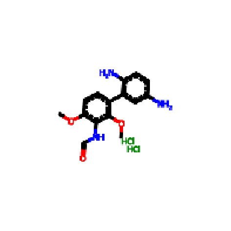 COc1ccc(-c2cc(N)ccc2N)c(OC)c1NC=O.Cl.Cl